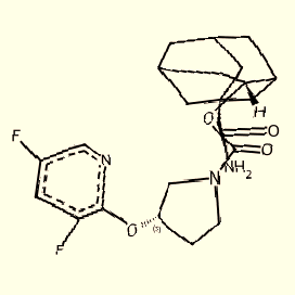 NC(=O)[C@]12CC3CC(C1)[C@@H](OC(=O)N1CC[C@H](Oc4ncc(F)cc4F)C1)C(C3)C2